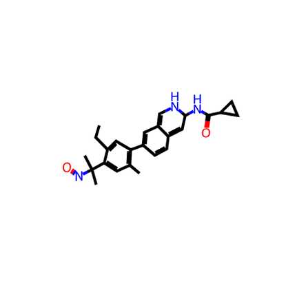 CCc1cc(-c2ccc3c(c2)=CNC(NC(=O)C2CC2)C=3)c(C)cc1C(C)(C)N=O